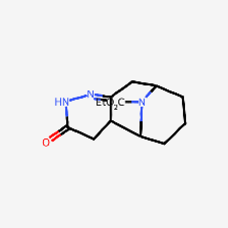 CCOC(=O)N1C2CCCC1C1CC(=O)NN=C1C2